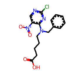 O=C(O)CCCCN(Cc1ccccc1)c1nc(Cl)ncc1[N+](=O)[O-]